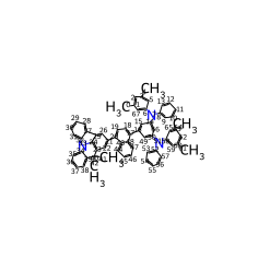 Cc1cc(C)cc(N(c2ccccc2)c2cc(-c3ccc(-c4cc5c6c(c4)c4ccccc4n6-c4ccccc4C5(C)C)c4ccccc34)cc(N(c3ccccc3)c3cc(C)cc(C)c3)c2)c1